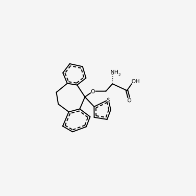 N[C@@H](COC1(c2cccs2)c2ccccc2CCc2ccccc21)C(=O)O